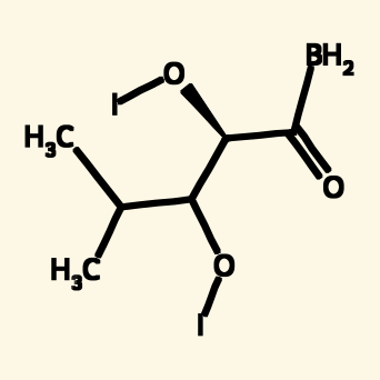 BC(=O)[C@H](OI)C(OI)C(C)C